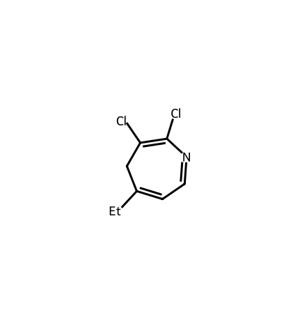 CCC1=CC=NC(Cl)=C(Cl)C1